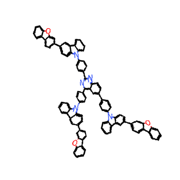 c1ccc2c(c1)oc1cc(-c3ccc4c(c3)c3ccccc3n4-c3ccc(-c4ccc5nc(-c6ccc(-n7c8ccccc8c8cc(-c9ccc%10c(c9)oc9ccccc9%10)ccc87)cc6)nc(-c6ccc(-n7c8ccccc8c8cc(-c9ccc%10c(c9)oc9ccccc9%10)ccc87)cc6)c5c4)cc3)ccc12